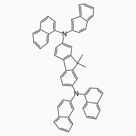 CC1(C)c2cc(N(c3ccc4ccccc4c3)c3cccc4ccccc34)ccc2-c2ccc(N(c3ccc4ccccc4c3)c3cccc4ccccc34)cc21